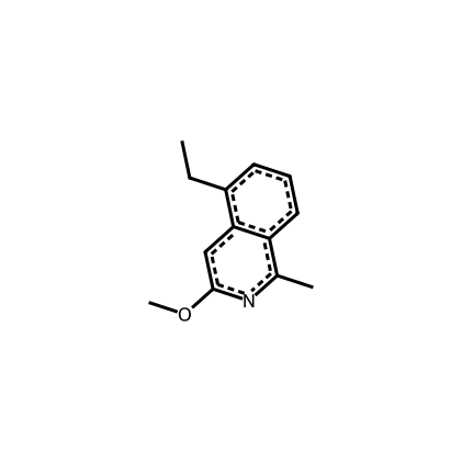 CCc1cccc2c(C)nc(OC)cc12